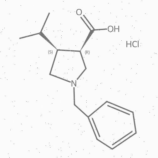 CC(C)[C@@H]1CN(Cc2ccccc2)C[C@@H]1C(=O)O.Cl